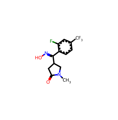 CN1CC(/C(=N\O)c2ccc(C(F)(F)F)cc2F)CC1=O